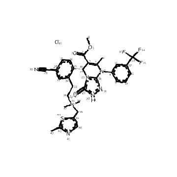 COC(=O)C1=C(C)N(c2cccc(C(F)(F)F)c2)c2n[nH]c(=O)n2[C@@H]1c1ccc(C#N)cc1CC[N+](C)(C)Cc1cnc(C)s1.[Cl-]